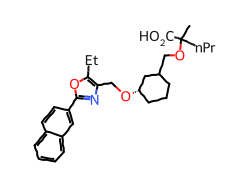 CCCC(C)(OCC1CCC[C@H](OCc2nc(-c3ccc4ccccc4c3)oc2CC)C1)C(=O)O